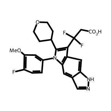 COc1cc(-n2c(C3CCOCC3)c(C(F)(F)CC(=O)O)c3cc4[nH]ncc4cc32)ccc1F